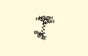 CC(C)(C)C(=O)N(CCCCCCN1C[C@H](O)[C@@H](O)[C@H](O)[C@H]1CO)C1CCC1